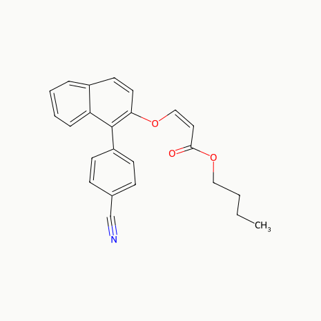 CCCCOC(=O)/C=C\Oc1ccc2ccccc2c1-c1ccc(C#N)cc1